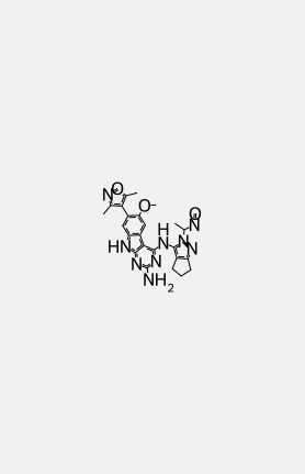 COc1cc2c(cc1-c1c(C)noc1C)[nH]c1nc(N)nc(Nc3c4c(nn3C(C)N=O)CCC4)c12